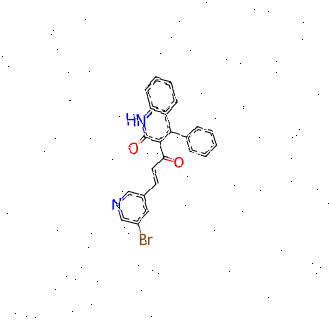 O=C(/C=C/c1cncc(Br)c1)c1c(-c2ccccc2)c2ccccc2[nH]c1=O